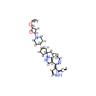 C=C=c1[nH]cc/c1=C(/N=C\C)c1cnn(C2(CC#N)CC[C@H](C3CCN(C4CC(OCCC)O4)CC3)C2)c1